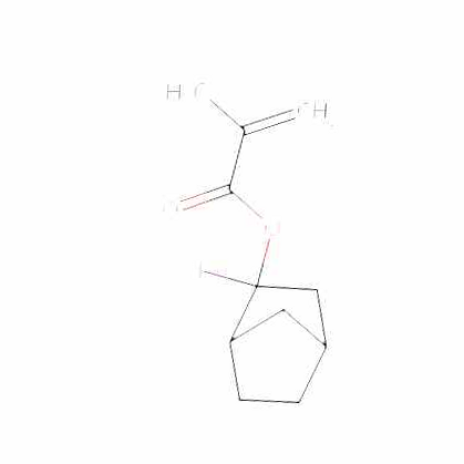 C=C(C)C(=O)OC1(I)CC2CCC1C2